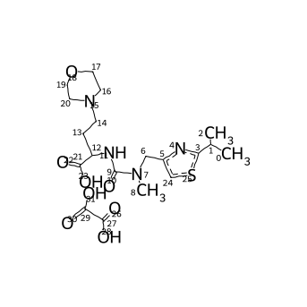 CC(C)c1nc(CN(C)C(=O)NC(CCN2CCOCC2)C(=O)O)cs1.O=C(O)C(=O)O